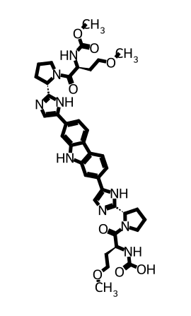 COCC[C@H](NC(=O)O)C(=O)N1CCC[C@H]1c1ncc(-c2ccc3c(c2)[nH]c2cc(-c4cnc([C@@H]5CCCN5C(=O)[C@H](CCOC)NC(=O)OC)[nH]4)ccc23)[nH]1